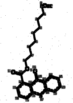 CCCCCCCCCCCCCCCCCCOC(=O)c1cccc2sc3ccccc3c(=O)c12